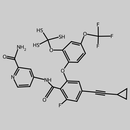 NC(=O)c1cc(NC(=O)c2c(F)cc(C#CC3CC3)cc2Oc2ccc(OC(F)(F)F)cc2OC(S)(S)S)ccn1